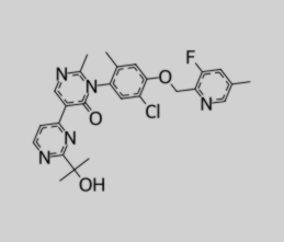 Cc1cnc(COc2cc(C)c(-n3c(C)ncc(-c4ccnc(C(C)(C)O)n4)c3=O)cc2Cl)c(F)c1